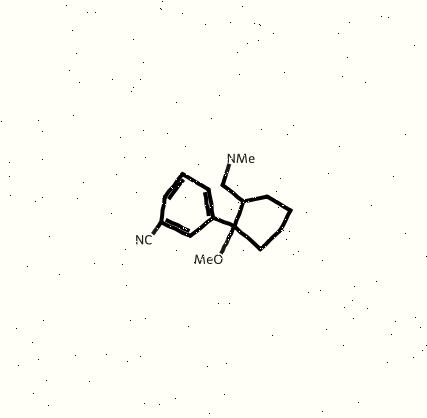 CNCC1CCCCC1(OC)c1cccc(C#N)c1